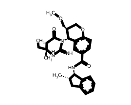 CC[C@]1(C)CC(=O)N([C@H]2c3cc(C(=O)N[C@@H]4c5ccccc5C[C@@H]4C)ccc3OC[C@@H]2COC)C(=N)N1